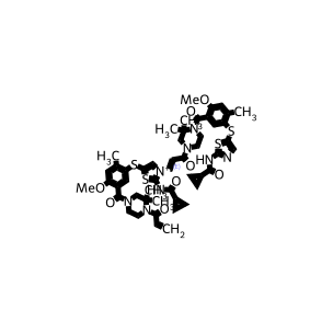 C=CC(=O)N1CCN(C(=O)c2cc(Sc3c[n+](/C=C/C(=O)N4CCN(C(=O)c5cc(Sc6cnc(NC(=O)C7CC7)s6)c(C)cc5OC)C(C)(C)C4)c(NC(=O)C4CC4)s3)c(C)cc2OC)CC1(C)C